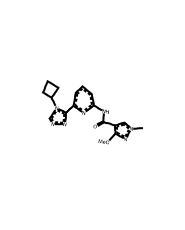 COc1nn(C)cc1C(=O)Nc1cccc(-c2nncn2C2CCC2)n1